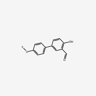 O=Cc1cc(-c2ccc(OF)cc2)ccc1O